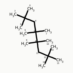 CC(C)(C)CC(C)(C)C(C)(C)CC(C)(C)C